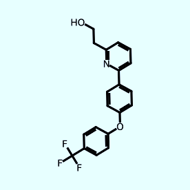 OCCc1cccc(-c2ccc(Oc3ccc(C(F)(F)F)cc3)cc2)n1